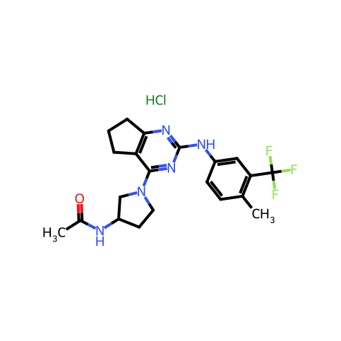 CC(=O)NC1CCN(c2nc(Nc3ccc(C)c(C(F)(F)F)c3)nc3c2CCC3)C1.Cl